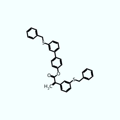 C=C(C(=O)Oc1ccc(-c2cccc(SCc3ccccc3)c2)cc1)c1cccc(SCc2ccccc2)c1